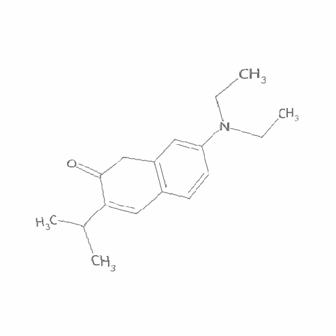 CCN(CC)c1ccc2c(c1)CC(=O)C(C(C)C)=C2